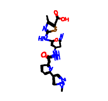 Cc1nc(NC(=O)CC(CC#N)NC(=O)c2cccc(-c3cnn(C)c3)n2)sc1C(=O)O